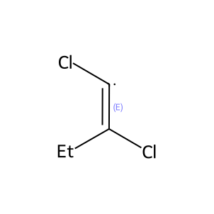 CC/C(Cl)=[C]\Cl